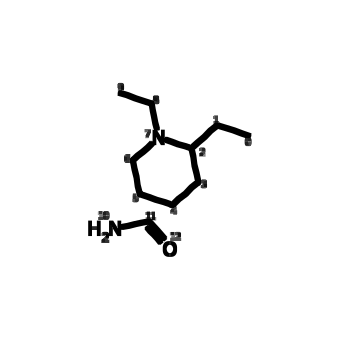 CCC1CCCCN1CC.NC=O